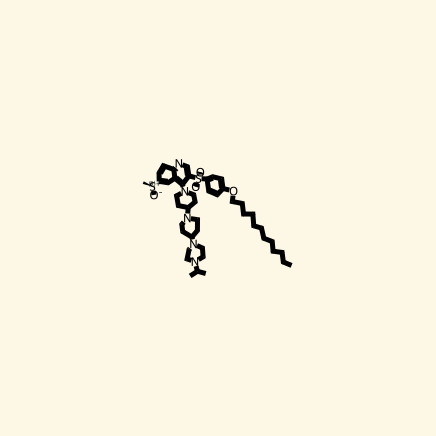 CCCCCCCCCCCCOc1ccc(S(=O)(=O)c2cnc3ccc([S@+](C)[O-])cc3c2N2CCC(N3CCC(N4CCN(C(C)C)CC4)CC3)CC2)cc1